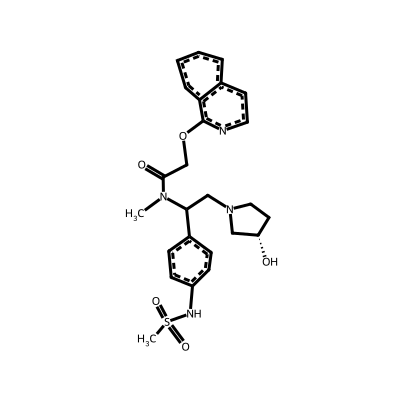 CN(C(=O)COc1nccc2ccccc12)C(CN1CC[C@H](O)C1)c1ccc(NS(C)(=O)=O)cc1